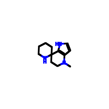 CN1CCC2(CCCCN2)c2[nH]ccc21